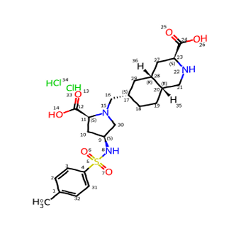 Cc1ccc(S(=O)(=O)N[C@H]2C[C@@H](C(=O)O)N(C[C@H]3CC[C@H]4CN[C@H](C(=O)O)C[C@H]4C3)C2)cc1.Cl.Cl